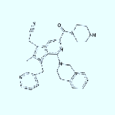 Cc1c(CC#N)c2cc(C(=O)N3CCNCC3)nc(N3CCc4ccccc4C3)c2n1Cc1ccccc1